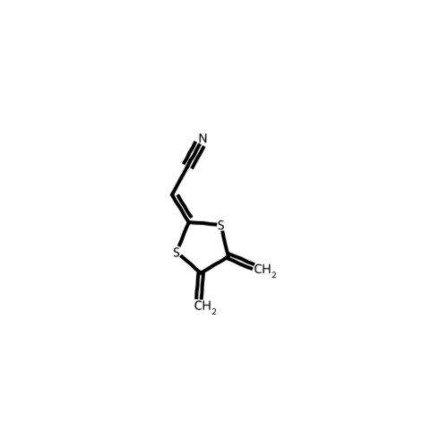 C=C1SC(=CC#N)SC1=C